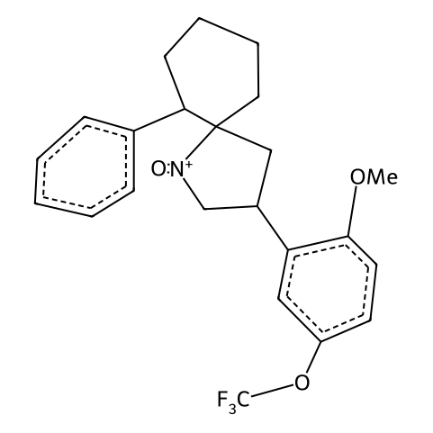 COc1ccc(OC(F)(F)F)cc1C1C[N+](=O)C2(CCCCC2c2ccccc2)C1